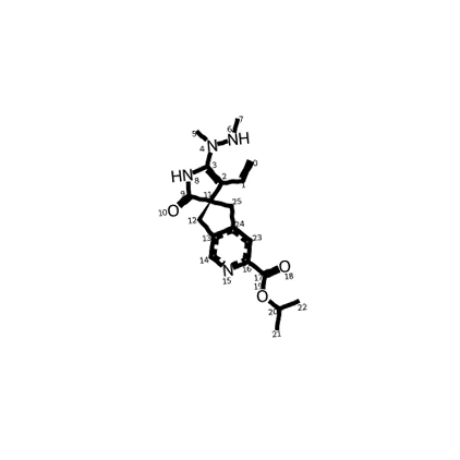 C=CC1=C(N(C)NC)NC(=O)[C@]12Cc1cnc(C(=O)OC(C)C)cc1C2